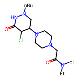 CCCCN1CC(N2CCN(CC(=O)N(CC)CC)CC2)C(Cl)C(=O)N1